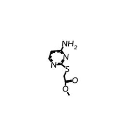 COC(=O)CSc1nccc(N)n1